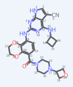 N#Cc1c[nH]c2nc(Nc3ccc(C(=O)N4CCN(C5COC5)CC4)c4c3OCCO4)nc(NC3CCC3)c12